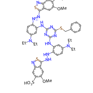 CCN(CC)c1ccc(/N=N/c2snc3cc(S(=O)(=O)O)c(OC)cc23)c(Nc2nc(Nc3cc(N(CC)CC)ccc3NNc3snc4cc(S(=O)(=O)O)c(OC)cc34)nc(SCc3ccccc3)n2)c1